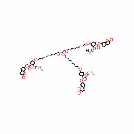 COc1cc(OCCCCCCCCCCOCC(COCCCCCCCCCCOc2ccc(C(=O)Oc3ccc4ccc(=O)oc4c3)c(OC)c2)OCCCCCCCCCCOc2ccc(C(=O)Oc3ccc4ccc(=O)oc4c3)c(OC)c2)ccc1C(=O)Oc1ccc2ccc(=O)oc2c1